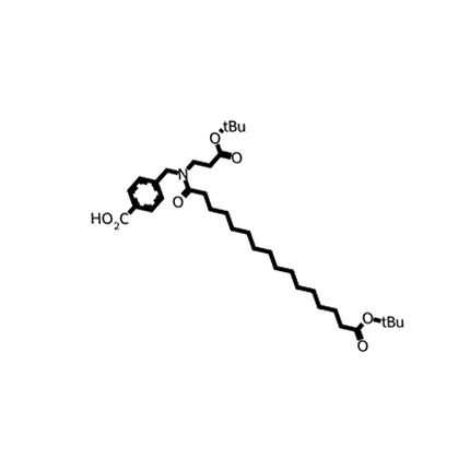 CC(C)(C)OC(=O)CCCCCCCCCCCCCCC(=O)N(CCC(=O)OC(C)(C)C)Cc1ccc(C(=O)O)cc1